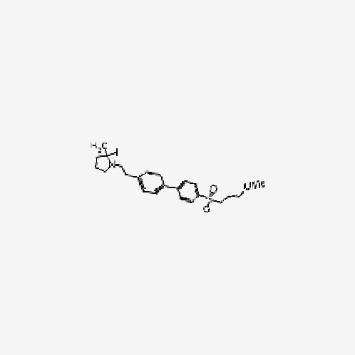 COCCCS(=O)(=O)c1ccc(-c2ccc(CCN3CCCC3(C)I)cc2)cc1